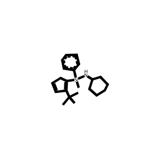 CC(C)(C)C1=C([Si](C)(NC2CCCCC2)c2ccccc2)CC=C1